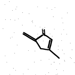 C=C1CC(C)=CN1